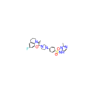 Cc1nccc(NS(=O)(=O)c2ccc(N3CCN(C(=O)[C@H](C)N4CCCc5cc(F)ccc54)CC3)cc2)n1